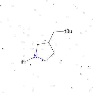 CC(C)N1CCC(CC(C)(C)C)C1